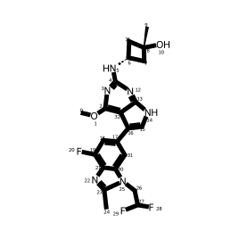 COc1nc(N[C@H]2C[C@@](C)(O)C2)nc2[nH]cc(-c3cc(F)c4nc(C)n(CC(F)F)c4c3)c12